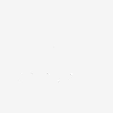 C=CC(=O)N1[C@H](C)CN(c2nc(=O)n3c4c(c(-c5ccc(F)c(Cl)c5)c(C(F)(F)F)cc24)SCC(OCCC)C3)C[C@@H]1C